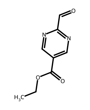 CCOC(=O)c1cnc(C=O)nc1